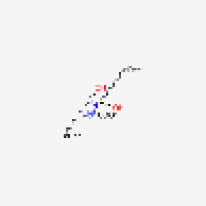 CCCCCCCCCCCCCCCCCC(CCO)N(C(CCO)CCCCCCCCCCCCCCCCC)C(C(=O)[O-])[N+](C)(C)C